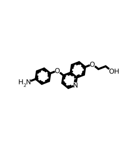 Nc1ccc(Oc2ccnc3cc(OCCO)ccc23)cc1